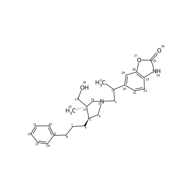 CC(CN1C[C@@H](CCCc2ccccc2)[C@@](C)(CO)C1)c1ccc2[nH]c(=O)oc2c1